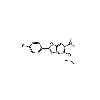 CC(C)Oc1cc2cc(-c3ccc(F)cc3)oc2cc1N(C)C